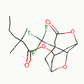 CCC(C)(C)C(=O)OC1C2CC3(C(F)(F)F)C(=O)OC1C3O2